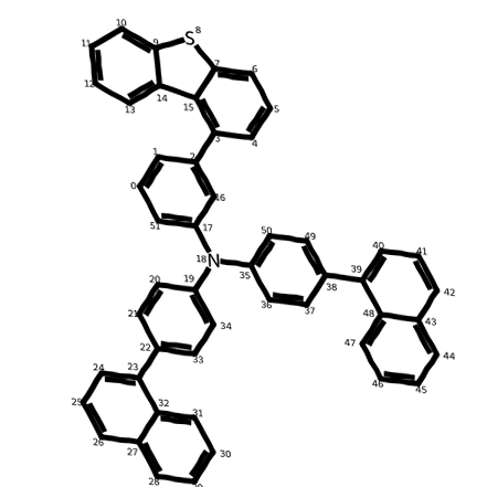 c1cc(-c2cccc3sc4ccccc4c23)cc(N(c2ccc(-c3cccc4ccccc34)cc2)c2ccc(-c3cccc4ccccc34)cc2)c1